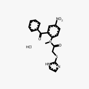 CN(C(=O)CSc1ncc[nH]1)c1ccc([N+](=O)[O-])cc1C(=O)c1ccccc1.Cl